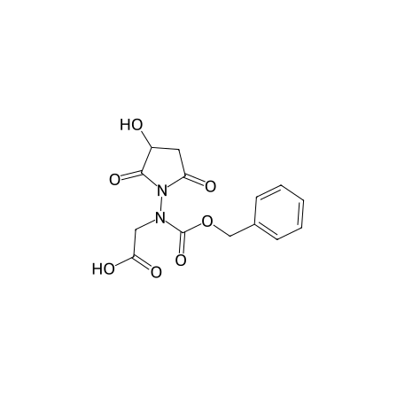 O=C(O)CN(C(=O)OCc1ccccc1)N1C(=O)CC(O)C1=O